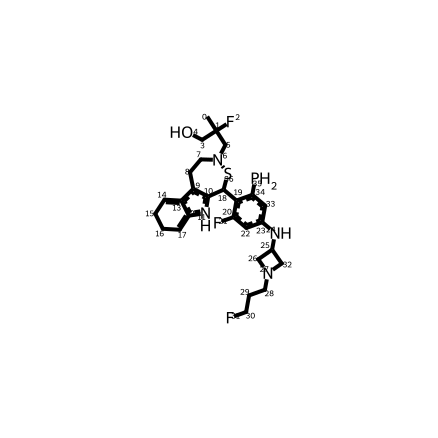 CC(F)(CO)CN1CCc2c([nH]c3c2=CCCC=3)C(c2c(F)cc(NC3CN(CCCF)C3)cc2P)S1